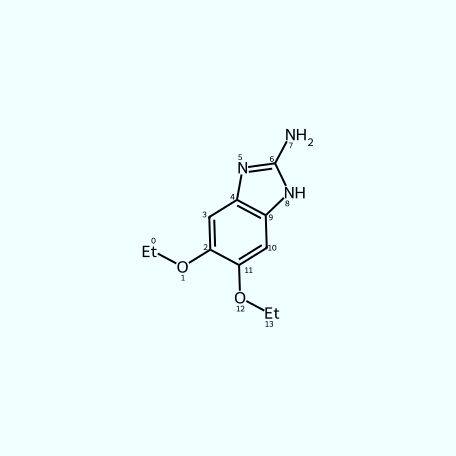 CCOc1cc2nc(N)[nH]c2cc1OCC